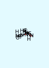 CNC(=O)c1ccc(NCC#Cc2nc3c(N[C@@H]4CCN(C)C[C@@H]4F)cccn3c2SC(F)(F)F)c(F)c1